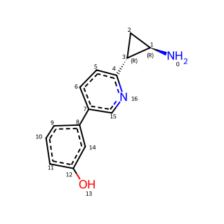 N[C@@H]1C[C@H]1c1ccc(-c2cccc(O)c2)cn1